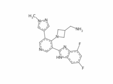 Cn1cc(-c2cncc(-c3nc4c(F)cc(F)cc4[nH]3)c2N2CC(CN)C2)cn1